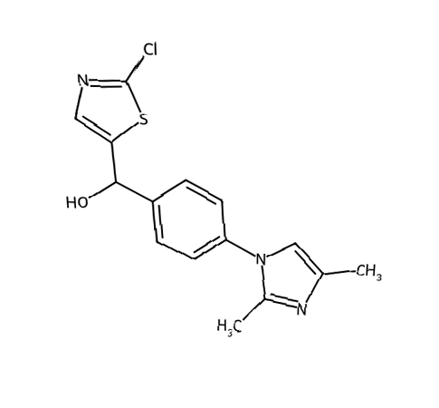 Cc1cn(-c2ccc(C(O)c3cnc(Cl)s3)cc2)c(C)n1